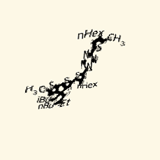 CCCCCCc1cc(-c2nnc(-c3cc(CCCCCC)c(-c4cc5c(s4)-c4sc(C)cc4C5(CC(C)CC)CC(CC)CCCC)s3)nn2)sc1C